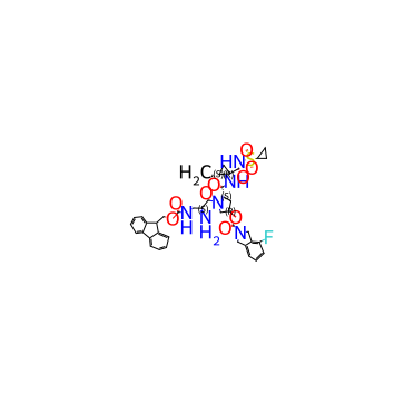 C=C[C@@H]1C[C@]1(NC(=O)[C@@H]1C[C@@H](OC(=O)N2Cc3cccc(F)c3C2)CN1C(=O)[C@@H](N)CNC(=O)OCC1c2ccccc2-c2ccccc21)C(=O)NS(=O)(=O)C1CC1